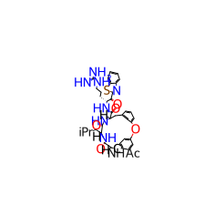 CC(=O)N[C@H]1Cc2ccc(cc2)Oc2cccc(c2)C[C@@H](C(=O)N[C@H](CCCNC(=N)N)C(=O)c2nc3ccccc3s2)NC(=O)[C@H](CC(C)C)NC1=O